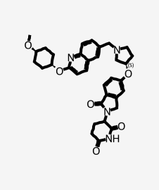 CO[C@H]1CC[C@H](Oc2ccc3cc(CN4CC[C@H](Oc5ccc6c(c5)CN(C5CCC(=O)NC5=O)C6=O)C4)ccc3n2)CC1